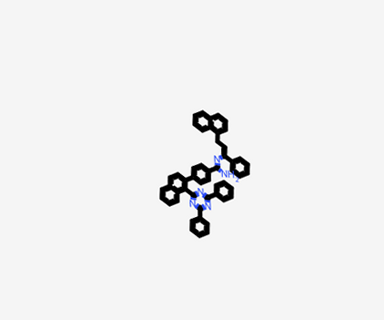 N/C(=N\C(=C/Cc1cccc2ccccc12)c1ccccc1)c1ccc(-c2ccc3ccccc3c2-c2nc(-c3ccccc3)nc(-c3ccccc3)n2)cc1